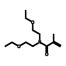 C=C(C)C(=O)N(CCOCC)CCOCC